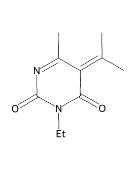 CCN1C(=O)N=C(C)C(=C(C)C)C1=O